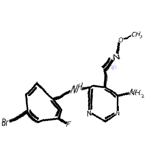 CO/N=C/c1c(N)ncnc1Nc1ccc(Br)cc1F